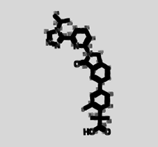 Cc1cc(-c2ccc3c(c2)C(=O)N(c2cccc(-c4nncn4C(C)C)n2)C3)ccc1C(C)(C)C(=O)O